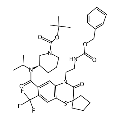 CC(C)N(C(=O)c1cc2c(cc1C(F)(F)F)SC1(CCCC1)C(=O)N2CCNC(=O)OCc1ccccc1)[C@@H]1CCCN(C(=O)OC(C)(C)C)C1